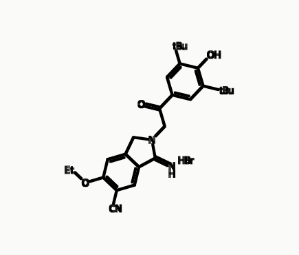 Br.CCOc1cc2c(cc1C#N)C(=N)N(CC(=O)c1cc(C(C)(C)C)c(O)c(C(C)(C)C)c1)C2